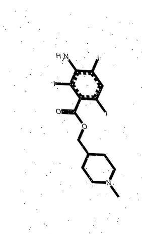 CN1CCC(COC(=O)c2c(I)cc(I)c(N)c2I)CC1